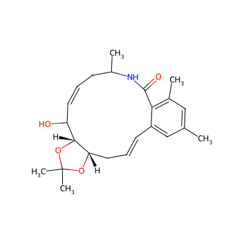 Cc1cc(C)c2c(c1)/C=C/C[C@@H]1OC(C)(C)O[C@@H]1C(O)/C=C\CC(C)NC2=O